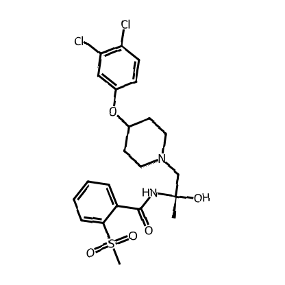 C[C@](O)(CN1CCC(Oc2ccc(Cl)c(Cl)c2)CC1)NC(=O)c1ccccc1S(C)(=O)=O